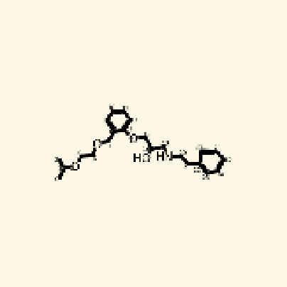 CC(C)OCCOCc1ccccc1OCC(O)CNCCc1ccccc1